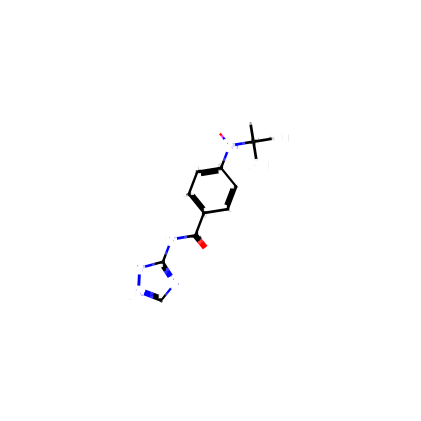 CC(C)(C)N(O)c1ccc(C(=O)Nc2ncn[nH]2)cc1